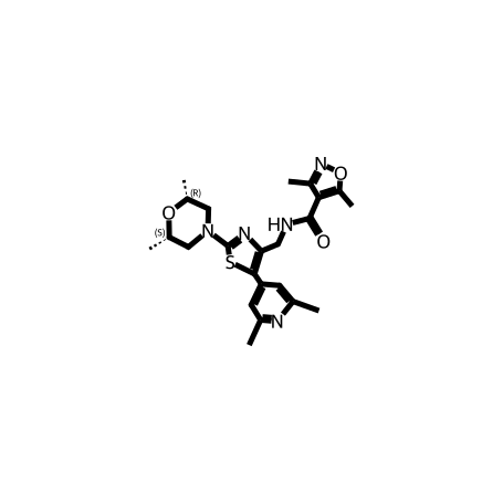 Cc1cc(-c2sc(N3C[C@@H](C)O[C@@H](C)C3)nc2CNC(=O)c2c(C)noc2C)cc(C)n1